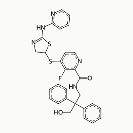 O=C(NCC(CO)(c1ccccc1)c1ccccc1)c1nccc(SC2CN=C(Nc3ccccn3)S2)c1F